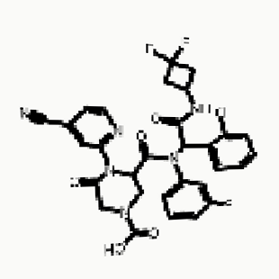 N#Cc1ccnc(N2C(=O)CN(C(=O)O)CC2C(=O)N(c2cccc(F)c2)C(C(=O)NC2CC(F)(F)C2)c2ccccc2Cl)c1